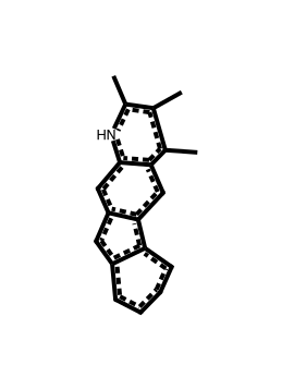 Cc1[nH]c2cc3cc4ccccc4c3cc2c(C)c1C